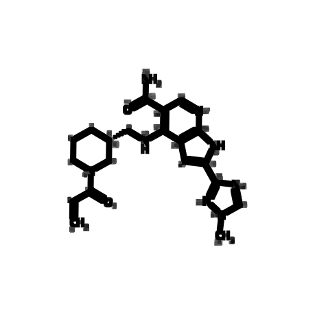 C=CC(=O)N1CCC[C@H](CNc2c(C(N)=O)cnc3[nH]c(-c4ncn(C)n4)cc23)C1